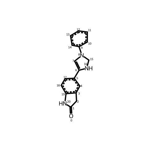 O=C1Cc2cc(C3=CN(c4ccccc4)CN3)ccc2N1